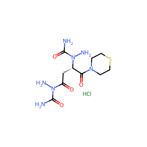 Cl.NC(=O)N(N)C(=O)C[C@@H](C(=O)N1CCSCC1)N(N)C(N)=O